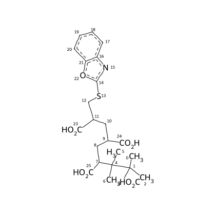 CC(C)(C(=O)O)C(C)(C)C(CC(CC(CSc1nc2ccccc2o1)C(=O)O)C(=O)O)C(=O)O